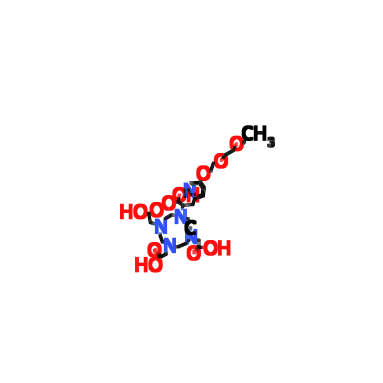 CCOCCOCCOc1ccc(CC(C(=O)O)N2CCN(CC(=O)O)CCN(CC(=O)O)CCN(CC(=O)O)CC2)nc1